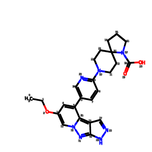 CCOc1cc(-c2ccc(N3CCC4(CCCN4C(=O)O)CC3)nc2)c2c3cn[nH]c3nn2c1